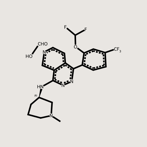 CN1CCC[C@@H](Nc2nnc(-c3ccc(C(F)(F)F)cc3OC(F)F)c3ccncc23)C1.O=CO